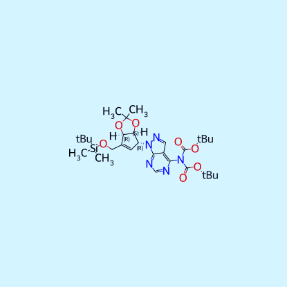 CC(C)(C)OC(=O)N(C(=O)OC(C)(C)C)c1ncnc2c1cnn2[C@@H]1C=C(CO[Si](C)(C)C(C)(C)C)[C@H]2OC(C)(C)O[C@H]21